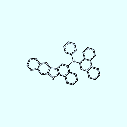 c1ccc(N(c2cc3ccccc3c3ccccc23)c2cc3c4cc5ccccc5cc4sc3c3ccccc23)cc1